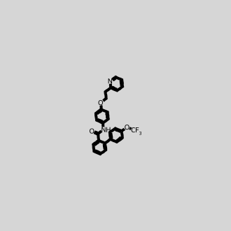 O=C(Nc1ccc(OCCc2ccccn2)cc1)c1ccccc1-c1ccc(OC(F)(F)F)cc1